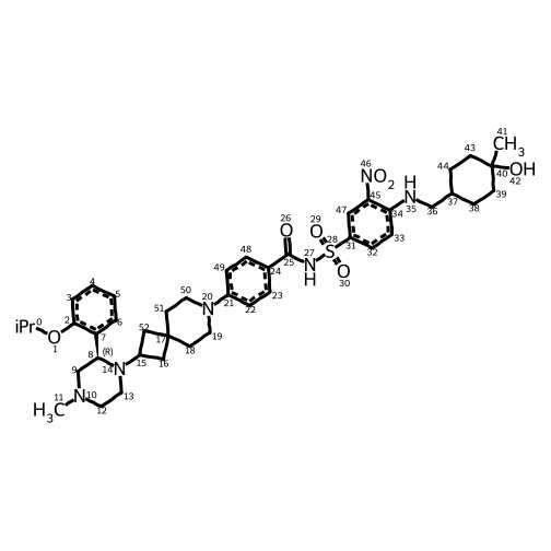 CC(C)Oc1ccccc1[C@@H]1CN(C)CCN1C1CC2(CCN(c3ccc(C(=O)NS(=O)(=O)c4ccc(NCC5CCC(C)(O)CC5)c([N+](=O)[O-])c4)cc3)CC2)C1